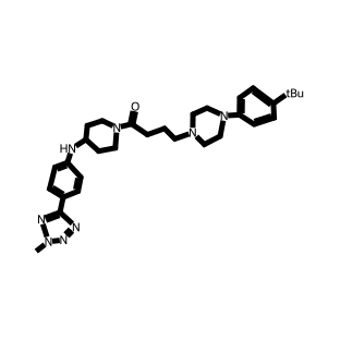 Cn1nnc(-c2ccc(NC3CCN(C(=O)CCCN4CCN(c5ccc(C(C)(C)C)cc5)CC4)CC3)cc2)n1